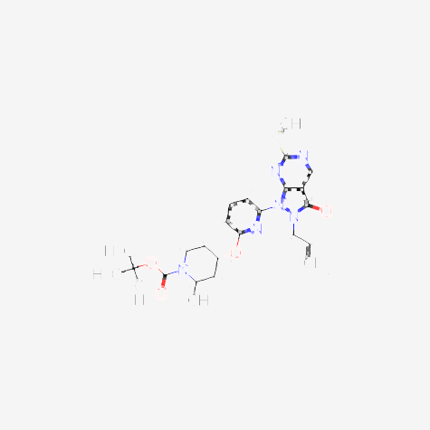 C=CCn1c(=O)c2cnc(SC)nc2n1-c1cccc(O[C@H]2CCN(C(=O)OC(C)(C)C)C(C)C2)n1